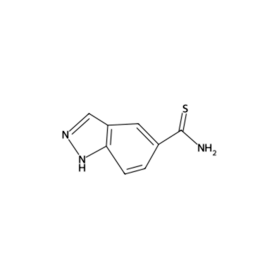 NC(=S)c1ccc2[nH]ncc2c1